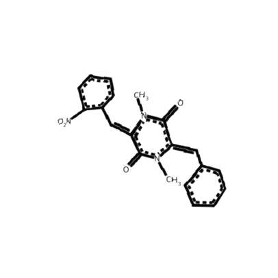 Cn1c(=O)/c(=C/c2ccccc2[N+](=O)[O-])n(C)c(=O)/c1=C/c1ccccc1